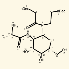 CCCCCCCCCCCCN(C(=O)CCCCCCCCCCC)[C@@H]1O[C@H](CO)[C@@H](O)[C@H](O)[C@H]1NC(=O)[C@H](C)N